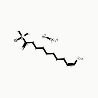 CCCCCCCC/C=C\CCCCCCCC(=O)[N+](C)(C)CC.O=S(=O)(O)O